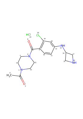 CC(=O)N1CCN(C(=O)c2ccc(NC3CNC3)cc2Cl)CC1.Cl